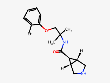 CCc1ccccc1OCC(C)(C)NC(=O)[C@H]1[C@@H]2CNC[C@@H]21